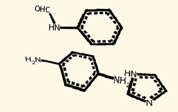 Nc1ccc(N)cc1.O=CNc1ccccc1.c1c[nH]cn1